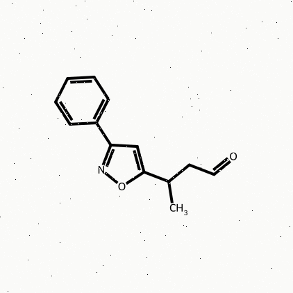 CC(CC=O)c1cc(-c2ccccc2)no1